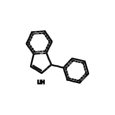 C1=CC(c2ccccc2)c2ccccc21.[LiH]